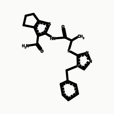 CC(Sc1nncn1Cc1ccccc1)C(=O)Nc1sc2c(c1C(N)=O)CCC2